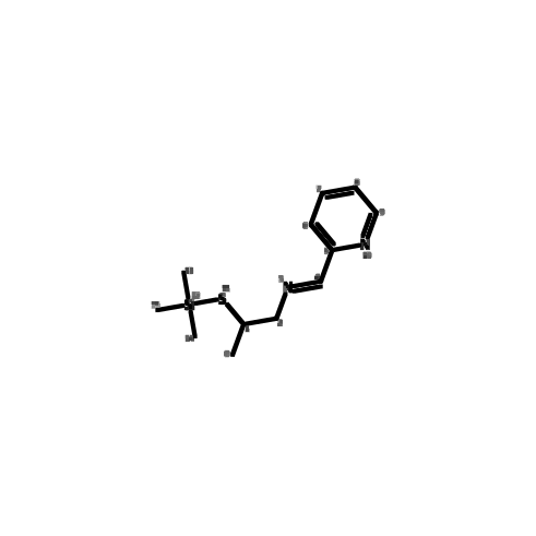 CC(CN=Cc1ccccn1)S[Si](C)(C)C